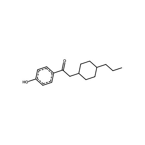 CCCC1CCC(CC(=O)c2ccc(O)cc2)CC1